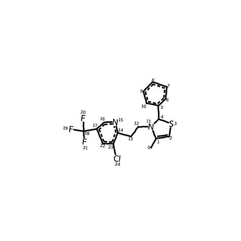 CC1=CSC(c2ccccc2)N1CCc1ncc(C(F)(F)F)cc1Cl